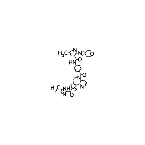 Cc1cnc(N2CC3(CCOCC3)C2)c(C(=O)Nc2ccc(C(=O)N3CCc4cc(C(=O)c5ncc(C)[nH]5)sc4-c4ncccc43)cc2)c1